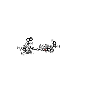 CN[C@@H](C)C(=O)N[C@H](C(=O)N1CC(COCCOCCOCCOc2cc3nccc(Nc4n[nH]c5ccc(F)cc45)c3cc2S(=O)(=O)C(C)(C)C)C[C@H]1C(=O)NC1CCCc2ccccc21)C(C)(C)C